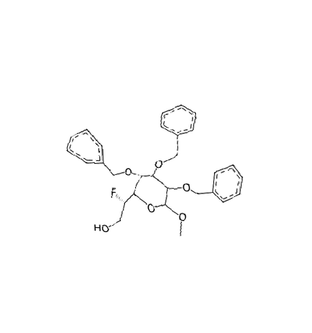 COC1OC([C@@H](F)CO)C(OCc2ccccc2)C(OCc2ccccc2)C1OCc1ccccc1